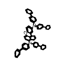 c1ccc(-c2ccc(N(c3ccc(-c4ccccc4)cc3)c3ccc4c(c3)-c3cccc5c(N(c6ccc(-c7ccccc7)cc6)c6ccc(-c7ccccc7)cc6)ccc(c35)O4)cc2)cc1